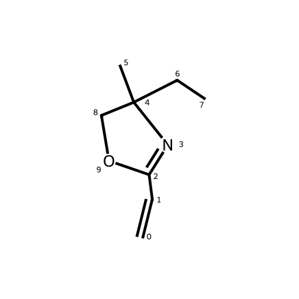 C=CC1=NC(C)(CC)CO1